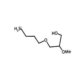 COC(CO)COCCC[SiH3]